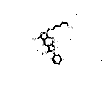 C/C=C\CCCCN1N=C(C)/C(=C/c2c(C)nn(C3C=CCCC3)c2O)C1O